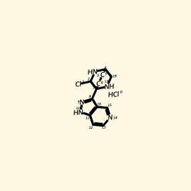 Cl.ClC1NC2CCC1(c1n[nH]c3ccncc13)NC2